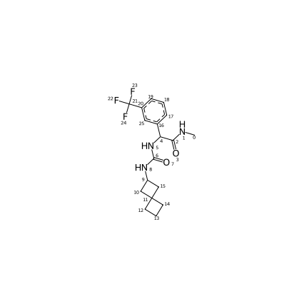 CNC(=O)C(NC(=O)NC1CC2(CCC2)C1)c1cccc(C(F)(F)F)c1